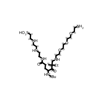 CCC(C)NC(CCC(=O)NCCNCCNCCS(=O)(=O)O)C(=O)C(C)(CC)CNCCOCCOCCOCCN